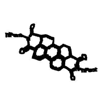 CCCCCN1C(=O)C2=CCc3c4c5c6c(ccc5c5ccc(c2c35)C1=O)C(=O)N(CCCCC)C(=O)C6C=C4